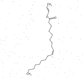 CC=COC(=O)CCCCCCC/C=C\CCCCCCCC